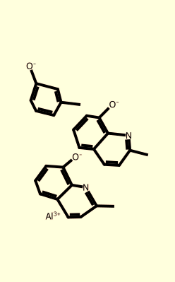 Cc1ccc2cccc([O-])c2n1.Cc1ccc2cccc([O-])c2n1.Cc1cccc([O-])c1.[Al+3]